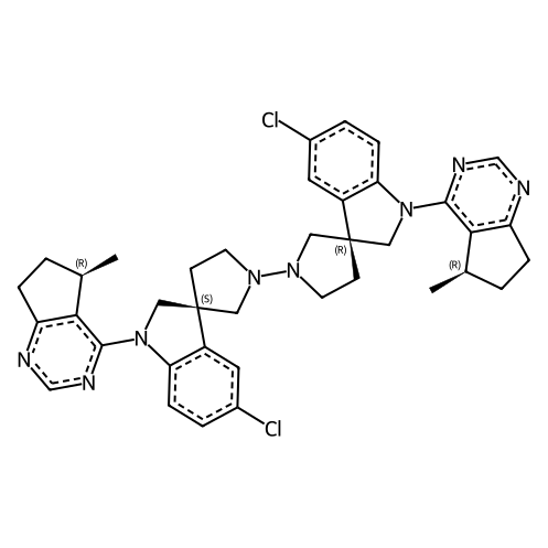 C[C@@H]1CCc2ncnc(N3C[C@]4(CCN(N5CC[C@@]6(CN(c7ncnc8c7[C@H](C)CC8)c7ccc(Cl)cc76)C5)C4)c4cc(Cl)ccc43)c21